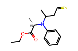 CCOC(=O)[C@H](C)N(c1ccccc1)C(C)CC=S